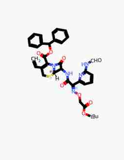 C=CC1=C(C(=O)OC(c2ccccc2)c2ccccc2)N2C(=O)C(NC(=O)/C(=N/OCC(=O)OC(C)(C)C)c3cccc(NC=O)n3)[C@H]2SC1